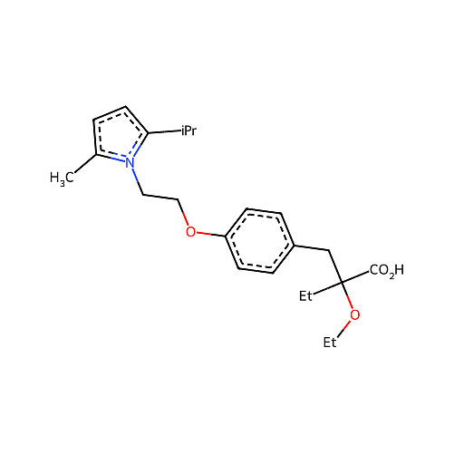 CCOC(CC)(Cc1ccc(OCCn2c(C)ccc2C(C)C)cc1)C(=O)O